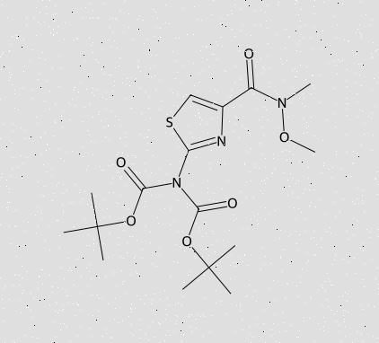 CON(C)C(=O)c1csc(N(C(=O)OC(C)(C)C)C(=O)OC(C)(C)C)n1